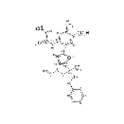 C=CCCC(OCc1ccccc1)(c1nnc(-c2nc(C(=O)O)c(C(F)(F)F)cc2NC(=O)OC(C)(C)C)o1)C(F)(F)F